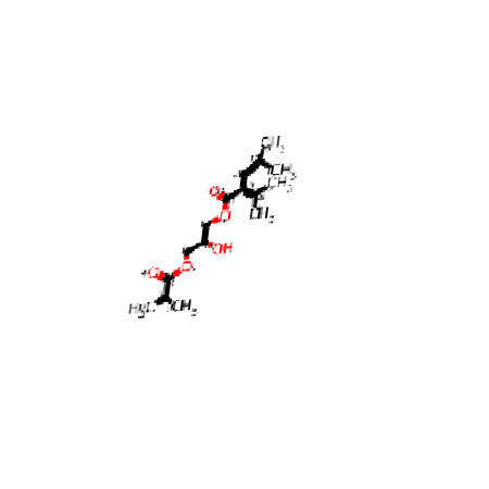 C=C(C)C(=O)OCC(O)COC(=O)C(C=C(C)C)=C(C)C